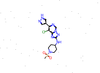 CS(=O)(=O)N1CCC(Nc2nc3c(Cl)c(-c4cn[nH]c4)ncn3n2)CC1